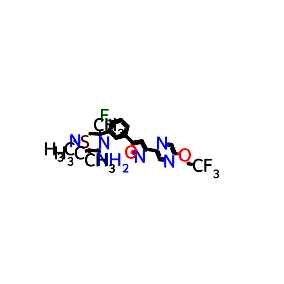 C/N=S1/C[C@@](C)(c2cc(-c3cc(-c4cnc(OCC(F)(F)F)cn4)no3)ccc2F)N=C(N)C1(C)C